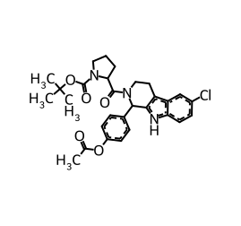 CC(=O)Oc1ccc(C2c3[nH]c4ccc(Cl)cc4c3CCN2C(=O)C2CCCN2C(=O)OC(C)(C)C)cc1